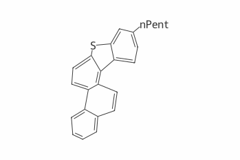 CCCCCc1ccc2c(c1)sc1ccc3c4ccccc4ccc3c12